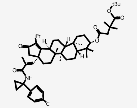 CC(=C[C@@]12CC[C@]3(C)[C@H](CC[C@@H]4[C@@]5(C)CC[C@H](OC(=O)CC(C)(C)C(=O)OC(C)(C)C)C(C)(C)[C@@H]5CC[C@]43C)C1=C(C(C)C)C(=O)C2)C(=O)NC1(c2ccc(Cl)cc2)CC1